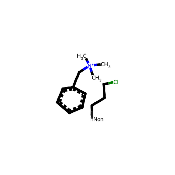 CCCCCCCCCCCCCl.C[N+](C)(C)Cc1ccccc1